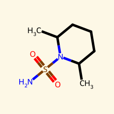 CC1CCCC(C)N1S(N)(=O)=O